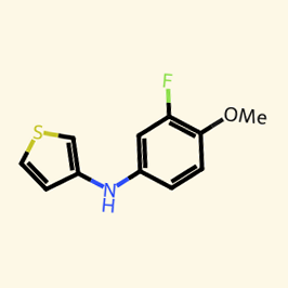 COc1ccc(Nc2ccsc2)cc1F